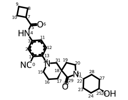 N#Cc1cc(NC(=O)C2CCC2)ccc1N1CCC[C@]2(CCN([C@H]3CC[C@H](O)CC3)C2=O)C1